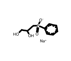 O=P([O-])(CC(O)CO)c1ccccc1.[Na+]